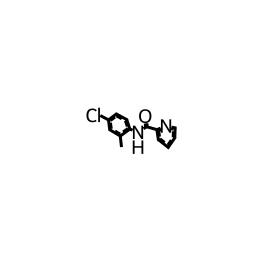 Cc1cc(Cl)ccc1NC(=O)c1ccccn1